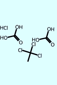 CC(Cl)(Cl)Cl.Cl.O=C(O)O.O=C(O)O